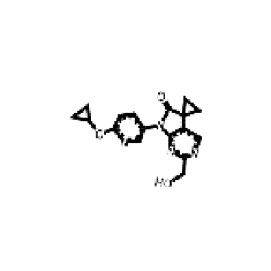 O=C1N(c2ccc(OC3CC3)nc2)c2nc(CO)ncc2C12CC2